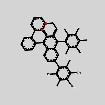 Bc1c(C)c(S)c(-c2ccc3c(-c4ccccc4-c4ccccc4)c4c(c(-c5c(C)c(C)c(C)c(C)c5C)c3c2)=CCCC=4)c(C)c1S